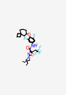 CCC1(CC)CN(c2nc(C(=O)Nc3cc(F)c(OC4CCCC5(CCC5)C4)c(F)c3)c(CC(F)(F)F)o2)C1